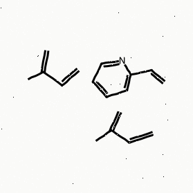 C=CC(=C)C.C=CC(=C)C.C=Cc1ccccn1